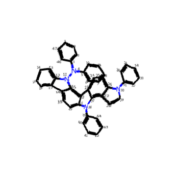 c1ccc(N(c2ccccc2)n2c3ccccc3c3ccc4c(c5ccc6c(ccn6-c6ccccc6)c5n4-c4ccccc4)c32)cc1